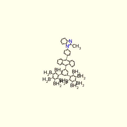 Bc1c(B)c(B)c(-c2cc(-c3c(B)c(B)c(B)c(B)c3B)cc(-c3c4ccccc4c(-c4ccc(-n5c(C)nc6ccccc65)cc4)c4ccccc34)c2)c(B)c1B